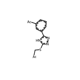 CC(=O)CSc1nnc(-c2cccc(C(C)=O)c2)[nH]1